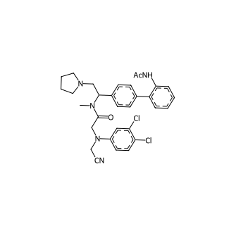 CC(=O)Nc1ccccc1-c1ccc(C(CN2CCCC2)N(C)C(=O)CN(CC#N)c2ccc(Cl)c(Cl)c2)cc1